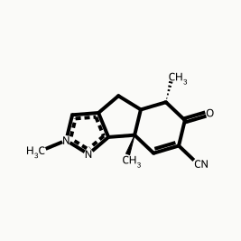 C[C@@H]1C(=O)C(C#N)=C[C@]2(C)c3nn(C)cc3CC12